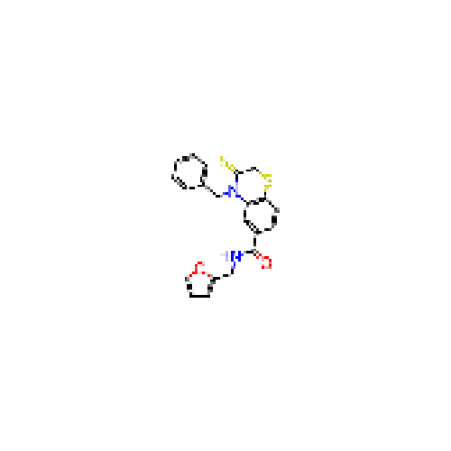 O=C(NCc1ccco1)c1ccc2c(c1)N(Cc1ccccc1)C(=S)CS2